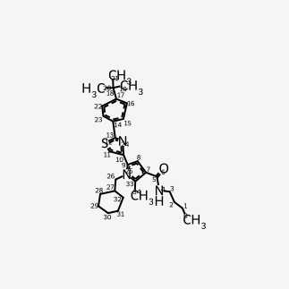 CCCCNC(=O)c1cc(-c2csc(-c3ccc(C(C)(C)C)cc3)n2)n(CC2CCCCC2)c1C